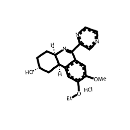 CCOc1cc2c(cc1OC)C(c1cnccn1)=N[C@@H]1CC[C@@H](O)C[C@H]21.Cl